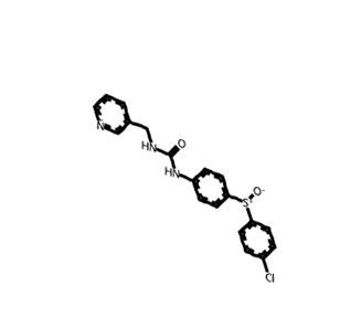 O=C(NCc1cccnc1)Nc1ccc([S+]([O-])c2ccc(Cl)cc2)cc1